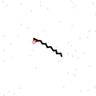 [CH2]CCCCCCCCCC1CO1